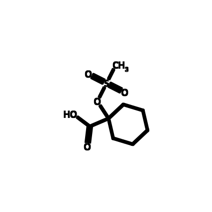 CS(=O)(=O)OC1(C(=O)O)CCCCC1